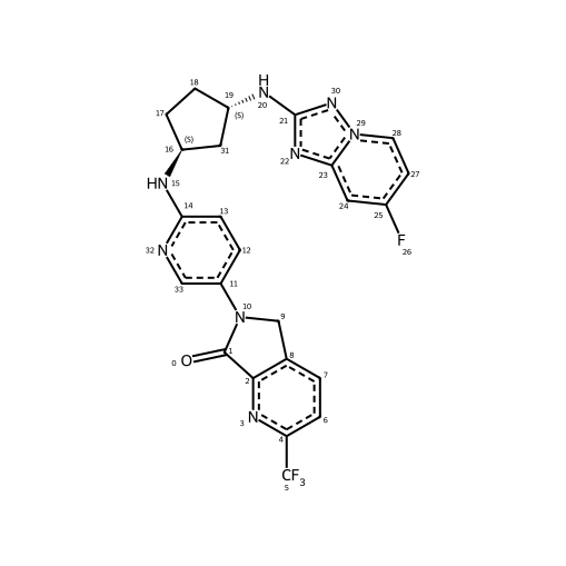 O=C1c2nc(C(F)(F)F)ccc2CN1c1ccc(N[C@H]2CC[C@H](Nc3nc4cc(F)ccn4n3)C2)nc1